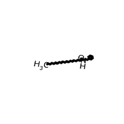 CCCCCC=CCC=CCC=CCC=CCCCC(=O)NCCc1ccccc1